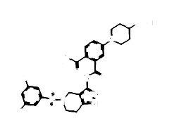 NC(=O)c1ccc(N2CCC(C(=O)O)CC2)cc1C(=O)Nc1n[nH]c2c1CN(S(=O)(=O)c1cc(F)cc(F)c1)CC2